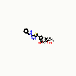 CC(C)(C[C@H]1C[C@H](c2csc3c(NCC4CCCCC4)ncnc23)C[C@H]1CO)[Si](C)(C)O